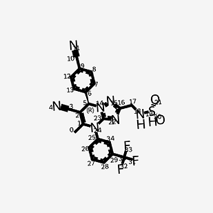 CC1=C(C#N)[C@@H](c2ccc(C#N)cc2)n2nc(CN[SH](=O)=O)nc2N1c1cccc(C(F)(F)F)c1